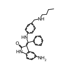 CCCCNCc1ccc(N/C(=C2\C(=O)Nc3ccc(N)cc32)c2ccccc2)cc1